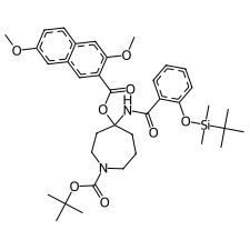 COc1ccc2cc(OC)c(C(=O)OC3(NC(=O)c4ccccc4O[Si](C)(C)C(C)(C)C)CCCN(C(=O)OC(C)(C)C)CC3)cc2c1